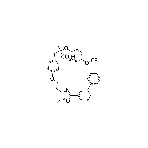 Cc1oc(-c2cccc(-c3ccccc3)c2)nc1CCOc1ccc(CC(C)(Oc2ccc(OC(F)(F)F)cc2)C(=O)O)cc1